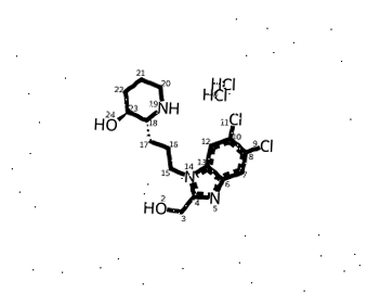 Cl.Cl.OCc1nc2cc(Cl)c(Cl)cc2n1CCC[C@H]1NCCC[C@@H]1O